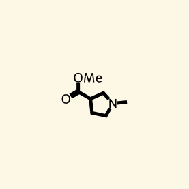 COC(=O)C1CCN(C)C1